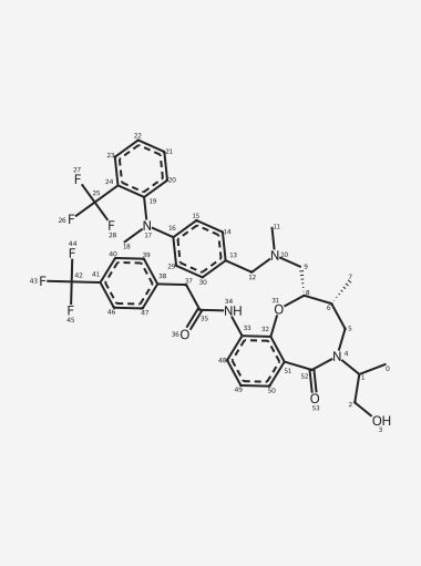 CC(CO)N1C[C@@H](C)[C@@H](CN(C)Cc2ccc(N(C)c3ccccc3C(F)(F)F)cc2)Oc2c(NC(=O)Cc3ccc(C(F)(F)F)cc3)cccc2C1=O